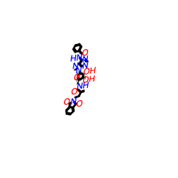 C=C(CCN1C(=O)c2ccccc2C1=O)C(=O)NC[C@H]1O[C@@H](n2cnc3c(NC(=O)c4ccccc4)ncnc32)C(O)[C@H]1O